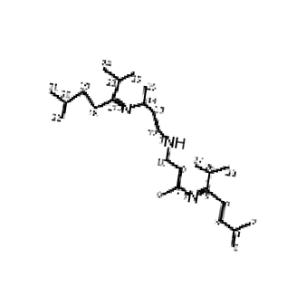 CC(C)CCC(=NC(C)CCNCCC(C)N=C(CCC(C)C)C(C)C)C(C)C